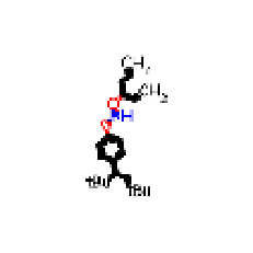 C=C/C=C(\C=C)ONOc1ccc(C(CC(C)(C)C)C(C)(C)C)cc1